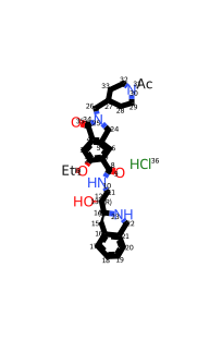 CCOc1cc2c(cc1C(=O)NC[C@@H](O)[C@@H]1Cc3ccccc3CN1)CN(CC1CCN(C(C)=O)CC1)C2=O.Cl